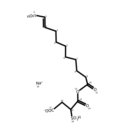 CCCCCCCCC=CCCCCCCCC(=O)OC(=O)C(CC(=O)[O-])S(=O)(=O)O.[Na+]